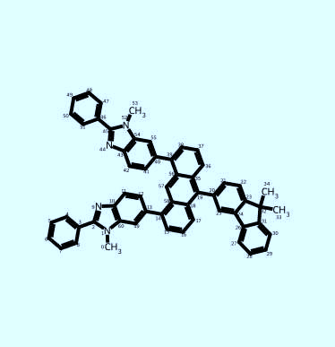 Cn1c(-c2ccccc2)nc2ccc(-c3cccc4c(-c5ccc6c(c5)-c5ccccc5C6(C)C)c5cccc(-c6ccc7nc(-c8ccccc8)n(C)c7c6)c5cc34)cc21